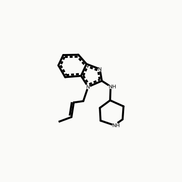 CC=CCn1c(NC2CCNCC2)nc2ccccc21